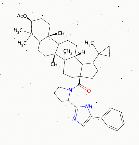 CC(=O)O[C@H]1CC[C@@]2(C)C(CC[C@]3(C)C2CC[C@@H]2C4C(C5(C)CC5)CC[C@]4(C(=O)N4CCC[C@H]4c4ncc(-c5ccccc5)[nH]4)CC[C@]23C)C1(C)C